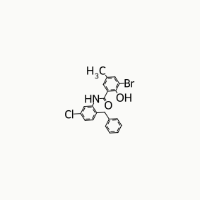 Cc1cc(Br)c(O)c(C(=O)Nc2cc(Cl)ccc2Cc2ccccc2)c1